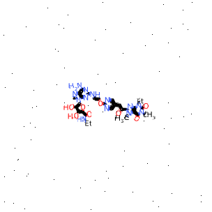 CCNC(=O)C1O[C@@H](n2cnc3c(N)nc(NCCOc4ncc(CC(=O)c5nc6c(c(=O)n(C)c(=O)n6CC)n5C)cn4)nc32)[C@H](O)[C@@H]1O